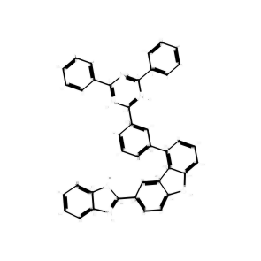 c1ccc(-c2nc(-c3ccccc3)nc(-c3cccc(-c4cccc5sc6ccc(-c7nc8ccccc8s7)cc6c45)c3)n2)cc1